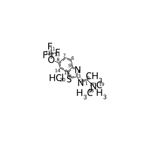 C/C(=N\c1nc2ccc(OC(F)(F)F)cc2s1)N(C)C.Cl